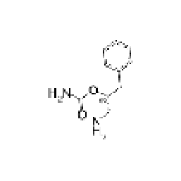 NC[C@@H](Cc1ccccc1)OC(N)=O